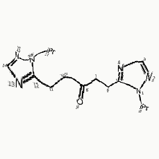 CC(C)n1ncnc1CCC(=O)CCc1ncnn1C(C)C